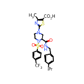 Cc1nc(N2CCN(S(=O)(=O)c3ccc(C(F)(F)F)cc3)C(C(=O)NCc3ccc(C(C)C)cc3)C2)sc1C(=O)O